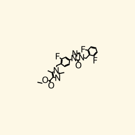 CCOC(=O)c1nc(C)n(Cc2ccc(-n3ncn(Cc4c(F)cccc4F)c3=O)cc2F)c1C